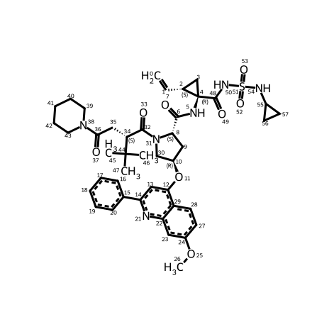 C=C[C@@H]1C[C@]1(NC(=O)[C@@H]1C[C@@H](Oc2cc(-c3ccccc3)nc3cc(OC)ccc23)CN1C(=O)[C@@H](CC(=O)N1CCCCC1)C(C)(C)C)C(=O)NS(=O)(=O)NC1CC1